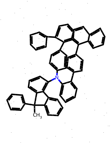 CC1(c2ccccc2)c2ccccc2-c2c(N(c3ccc(-c4ccccc4-c4ccccc4)cc3)c3ccccc3-c3ccc(-c4cccc5ccccc45)cc3)cccc21